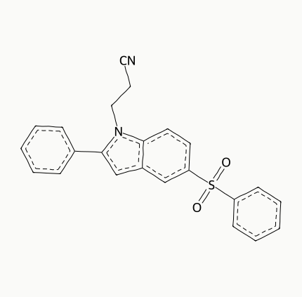 N#CCCn1c(-c2ccccc2)cc2cc(S(=O)(=O)c3ccccc3)ccc21